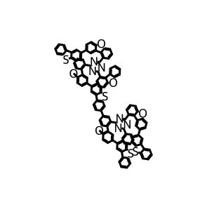 c1ccc(-c2nc(-c3cccc4oc5ccc(-c6ccc7sc8ccccc8c7c6)cc5c34)nc(-c3cc(-c4ccc5c(c4)sc4ccc(-c6ccc7oc8cccc(-c9nc(-c%10cccc%11oc%12ccccc%12c%10%11)nc(-c%10cccc%11oc%12ccc(-c%13ccc%14sc%15ccccc%15c%14c%13)cc%12c%10%11)n9)c8c7c6)cc45)cc4oc5ccc(-c6ccc7sc8ccccc8c7c6)cc5c34)n2)cc1